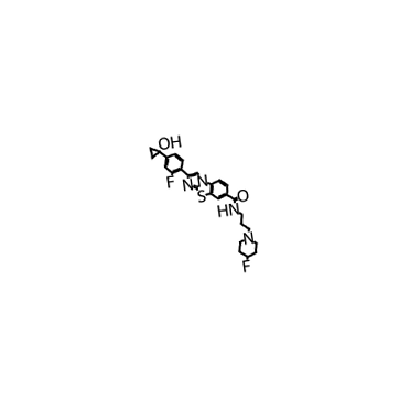 O=C(NCCCN1CCC(F)CC1)c1ccc2c(c1)sc1nc(-c3ccc(C4(O)CC4)cc3F)cn12